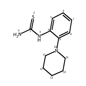 NC(=S)Nc1ccccc1N1CCCCC1